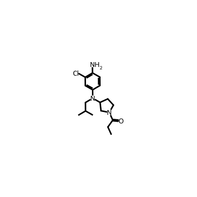 CCC(=O)N1CCC(N(CC(C)C)c2ccc(N)c(Cl)c2)C1